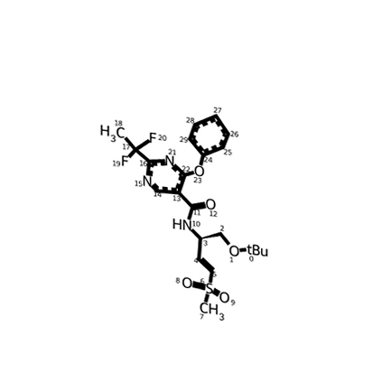 CC(C)(C)OC[C@@H](/C=C/S(C)(=O)=O)NC(=O)c1cnc(C(C)(F)F)nc1Oc1ccccc1